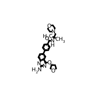 CC(C)(CN1CCOCC1)NC(=O)c1ccc(-c2ccc3nc(N)nc(O[C@@H]4CCOC4)c3c2)cc1